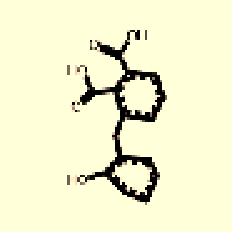 O=C(O)c1cccc(Cc2ccccc2O)c1C(=O)O